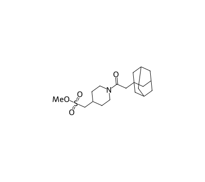 COS(=O)(=O)CC1CCN(C(=O)CC23CC4CC(CC(C4)C2)C3)CC1